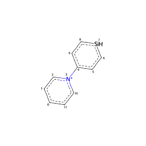 c1cc[n+](-c2cc[siH]cc2)cc1